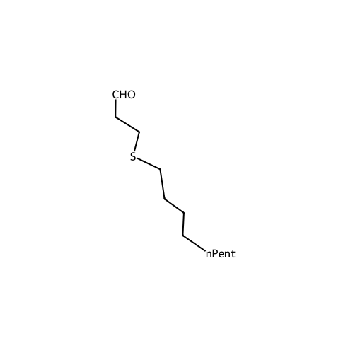 CCCCCCCCCSCCC=O